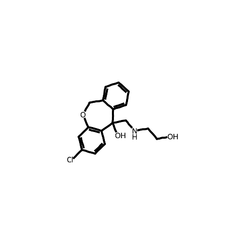 OCCNCC1(O)c2ccccc2COc2cc(Cl)ccc21